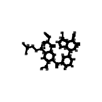 C=CC(=O)Nc1cc(Nc2nccc(-c3c[nH]c(=O)c4c3ccn4C)n2)c(OC)cc1N(C)CCN(C)C